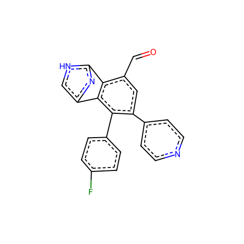 O=Cc1cc(-c2ccncc2)c(-c2ccc(F)cc2)c2c1-c1nc-2c[nH]1